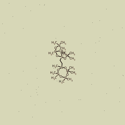 C[Si](C)(C)O[Si](C)(C)O[Si](C)(CC[Si]1(C)O[Si](C)(C)O[Si](C)(C)O[Si](C)(C)O1)O[Si](C)(C)C